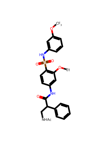 CCOc1cc(NC(=O)C(CNC(C)=O)c2ccccc2)ccc1S(=O)(=O)Nc1cccc(OC(F)(F)F)c1